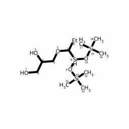 CCC(OCC(O)CO)[SiH](O[Si](C)(C)C)O[Si](C)(C)C